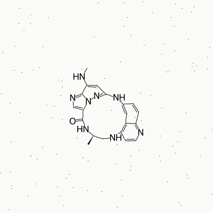 CNc1cc2nn3c(cnc13)C(=O)N[C@H](C)CNc1ccnc3ccc(cc13)N2